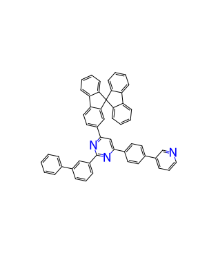 c1ccc(-c2cccc(-c3nc(-c4ccc(-c5cccnc5)cc4)cc(-c4ccc5c(c4)C4(c6ccccc6-c6ccccc64)c4ccccc4-5)n3)c2)cc1